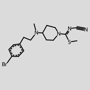 CS/C(=N\C#N)N1CCC(N(C)CCc2ccc(Br)cc2)CC1